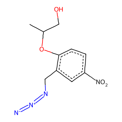 CC(CO)Oc1ccc([N+](=O)[O-])cc1CN=[N+]=[N-]